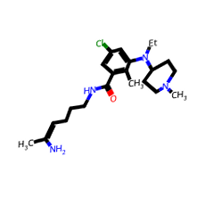 CCN(c1cc(Cl)cc(C(=O)NCCC/C=C(/C)N)c1C)C1CCN(C)CC1